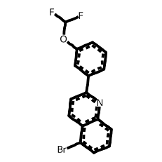 FC(F)Oc1cccc(-c2ccc3c(Br)cccc3n2)c1